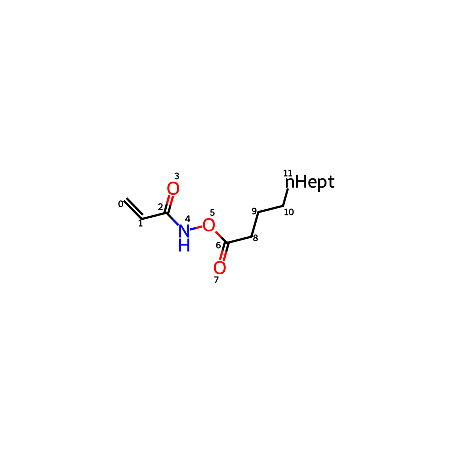 C=CC(=O)NOC(=O)CCCCCCCCCC